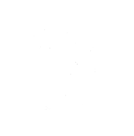 CCC(=O)N(Cc1ccccc1OSC(C)(C)C)c1ccc2c(c1)OCO2